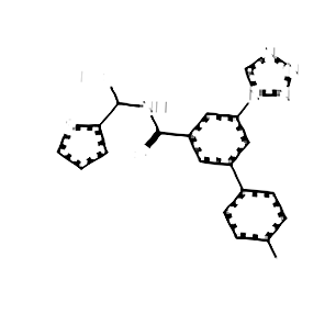 CC(NC(=O)c1cc(-c2ccc(F)cc2)cc(-n2cnnn2)c1)c1cccs1